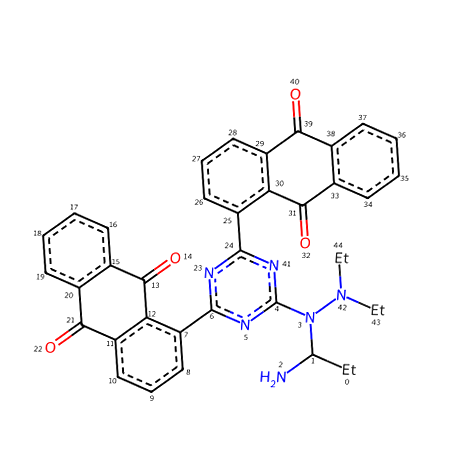 CCC(N)N(c1nc(-c2cccc3c2C(=O)c2ccccc2C3=O)nc(-c2cccc3c2C(=O)c2ccccc2C3=O)n1)N(CC)CC